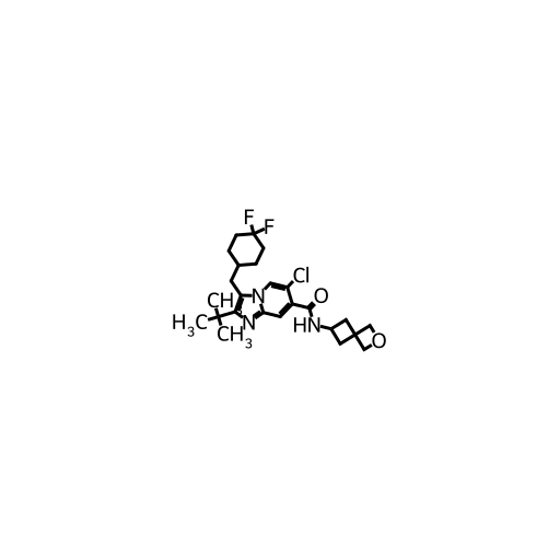 CC(C)(C)c1nc2cc(C(=O)NC3CC4(COC4)C3)c(Cl)cn2c1CC1CCC(F)(F)CC1